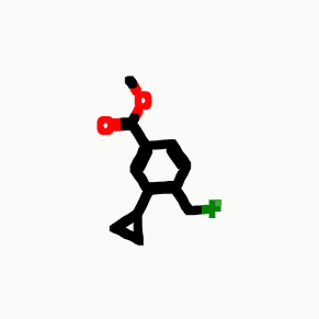 COC(=O)c1ccc(CF)c(C2CC2)c1